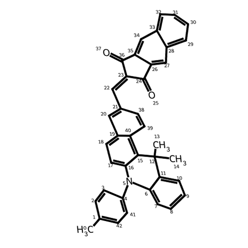 Cc1ccc(N2c3ccccc3C(C)(C)c3c2ccc2cc(C=C4C(=O)c5cc6ccccc6cc5C4=O)ccc32)cc1